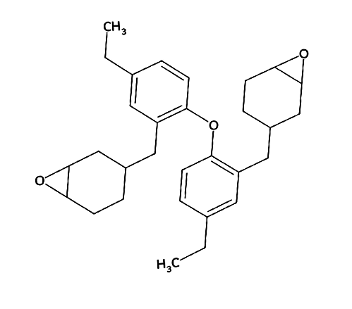 CCc1ccc(Oc2ccc(CC)cc2CC2CCC3OC3C2)c(CC2CCC3OC3C2)c1